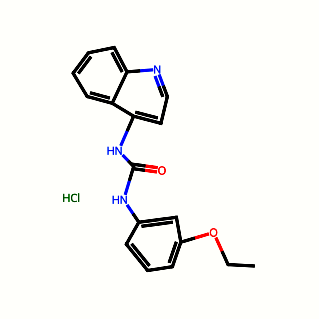 CCOc1cccc(NC(=O)Nc2ccnc3ccccc23)c1.Cl